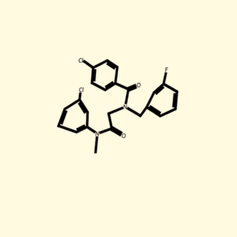 CN(C(=O)CN(Cc1cccc(F)c1)C(=O)c1ccc(Cl)cc1)c1cccc(Cl)c1